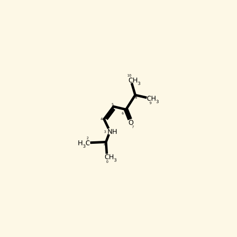 CC(C)N/C=C\C(=O)C(C)C